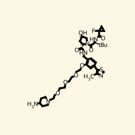 Cc1ncsc1-c1ccc(CNC(=O)[C@@H]2C[C@@H](O)CN2C(=O)[C@@H](NC(=O)C2(F)CC2)C(C)(C)C)c(OCCOCCOCCOCCN2CCC(N)CC2)c1